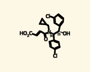 O=C(O)C=CC(=O)N(CC1CC1)[C@H](c1ccc(Cl)cc1)[C@@H](O)c1cccc(Cl)c1